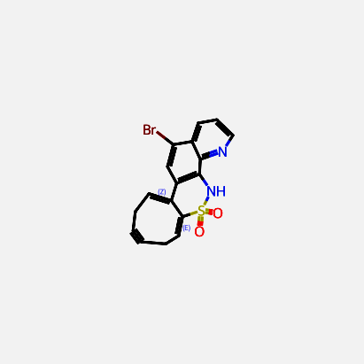 O=S1(=O)Nc2c(cc(Br)c3cccnc23)C2=C/CC#CC/C=C\21